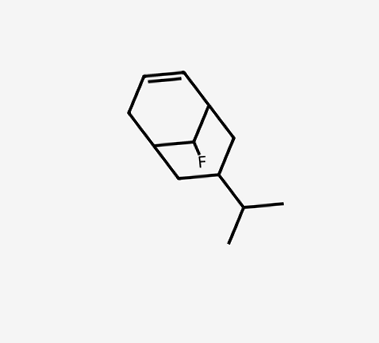 CC(C)C1CC2C=CCC(C1)C2F